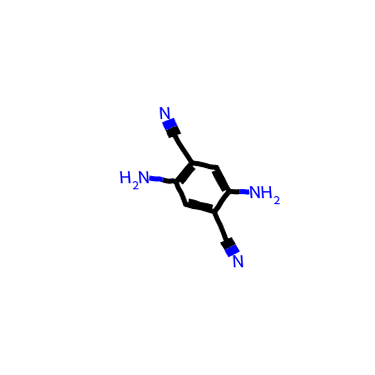 N#Cc1cc(N)c(C#N)cc1N